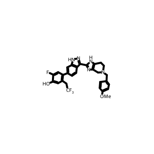 COc1ccc(CN2CCc3[nH]c(-c4n[nH]c5cc(-c6cc(F)c(O)cc6CC(F)(F)F)ccc45)nc3C2)cc1